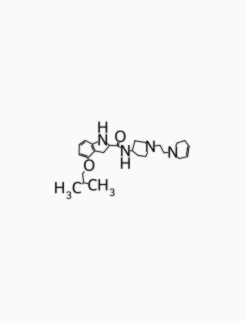 CC(C)COc1cccc2c1CC(C(=O)NC1CCN(CCN3CC=CCC3)CC1)N2